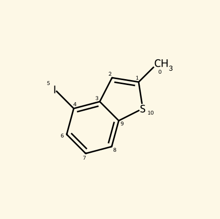 Cc1cc2c(I)cccc2s1